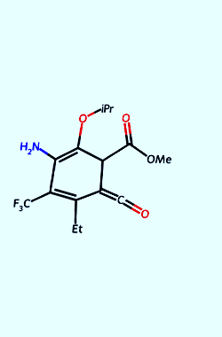 CCC1=C(C(F)(F)F)C(N)=C(OC(C)C)C(C(=O)OC)C1=C=O